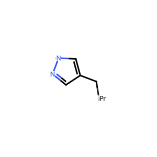 CC(C)CC1=C[N]N=C1